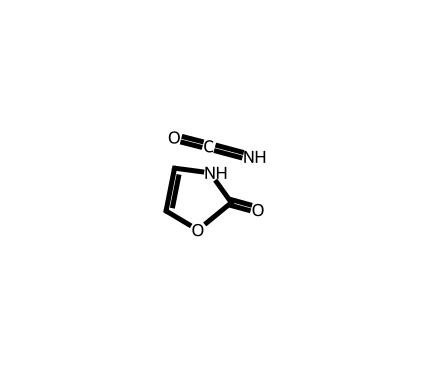 N=C=O.O=c1[nH]cco1